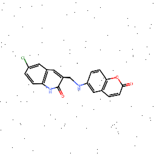 O=c1ccc2cc(NCc3cc4cc(Cl)ccc4[nH]c3=O)ccc2o1